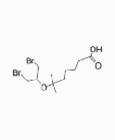 CC(C)(CCCCC(=O)O)OC(CBr)CBr